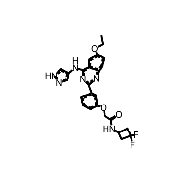 CCOc1ccc2nc(-c3cccc(OCC(=O)NC4CC(F)(F)C4)c3)nc(Nc3cn[nH]c3)c2c1